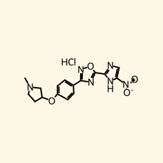 CN1CCC(Oc2ccc(-c3noc(-c4ncc([N+](=O)[O-])[nH]4)n3)cc2)C1.Cl